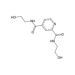 O=C(NCCO)c1ccnc(C(=O)NCCO)c1